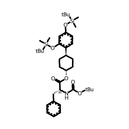 CC(C)(C)OC(=O)N[C@H](Cc1ccccc1)C(=O)O[C@H]1CC[C@H](c2ccc(O[Si](C)(C)C(C)(C)C)cc2O[Si](C)(C)C(C)(C)C)CC1